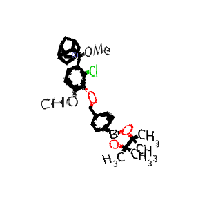 CO/C(=C1\C2CC3CC(C2)C1C3)c1ccc(C=O)c(OCc2ccc(B3OC(C)(C)C(C)(C)O3)cc2)c1Cl